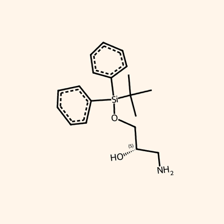 CC(C)(C)[Si](OC[C@@H](O)CN)(c1ccccc1)c1ccccc1